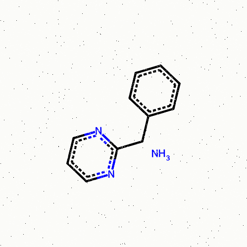 N.c1ccc(Cc2ncccn2)cc1